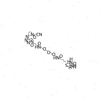 C[C@@H]1CCN(C(=O)CC#N)CC1N(C)c1ncnc2c1ccn2C(=O)CCC(=O)NCCOCCOCCOCCNC(=O)CCCC[C@H]1SC[C@H]2NC(O)N[C@H]21